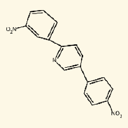 O=[N+]([O-])c1ccc(-c2ccc(-c3cccc([N+](=O)[O-])c3)nc2)cc1